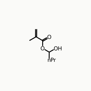 C=C(C)C(=O)OC(O)CCC